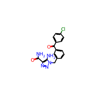 NC(=O)c1nnn(Cc2cccc(C(=O)c3ccc(Cl)cc3)c2)c1N